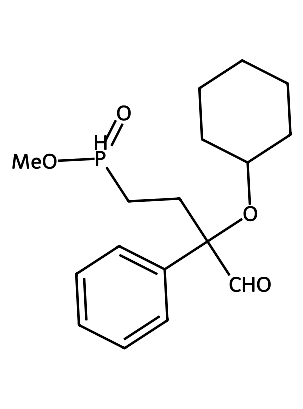 CO[PH](=O)CCC(C=O)(OC1CCCCC1)c1ccccc1